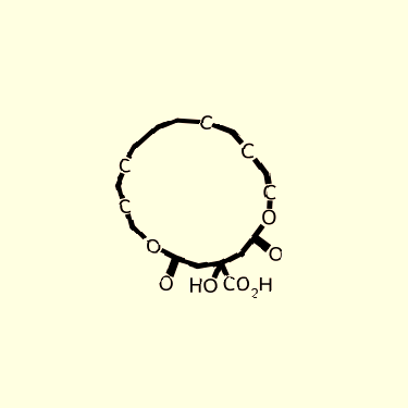 O=C1CC(O)(C(=O)O)CC(=O)OCCCCCCCCCCCCO1